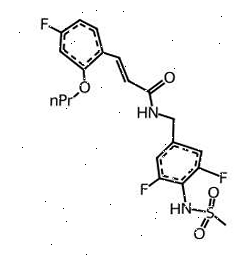 CCCOc1cc(F)ccc1/C=C/C(=O)NCc1cc(F)c(NS(C)(=O)=O)c(F)c1